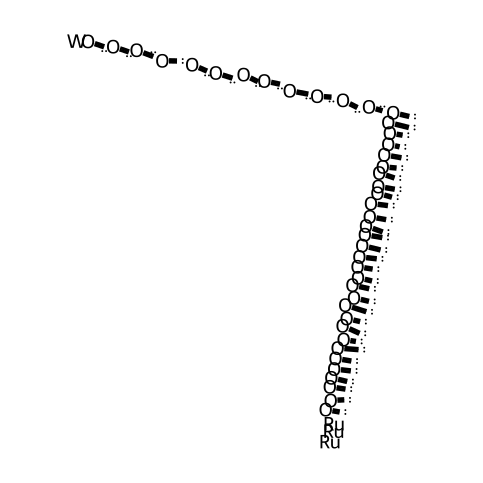 [C]=O.[C]=O.[C]=O.[C]=O.[C]=O.[C]=O.[C]=O.[C]=O.[C]=O.[C]=O.[C]=O.[C]=O.[C]=O.[C]=O.[C]=O.[C]=O.[C]=O.[C]=O.[C]=O.[C]=O.[C]=O.[C]=O.[C]=O.[C]=O.[C]=O.[C]=O.[C]=O.[C]=O.[C]=O.[C]=O.[C]=O.[C]=O.[C]=O.[C]=O.[C]=O.[C]=O.[C]=O.[C]=O.[C]=O.[C]=O.[C]=O.[C]=O.[Ru].[Ru].[Ru].[W]